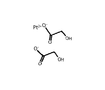 O=C([O-])CO.O=C([O-])CO.[Pt+2]